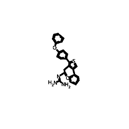 NC(N)=NC(=O)Cc1c(-c2ccccc2)csc1-c1ccc(Oc2ccccc2)cc1